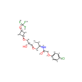 O=C(COc1ccc(Cl)cc1)N[C@@H]1CC[C@@H]([C@H](O)COC2CC(OC(F)(F)F)C2)OC1